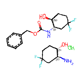 Cl.N[C@H]1CC(F)(F)CC[C@@H]1O.O=C(N[C@H]1CC(F)(F)CC[C@@H]1O)OCc1ccccc1